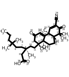 CCCC(C)(C)CC[C@@](C)(CC[C@]1(C)CC(=O)C=C2[C@@]3(C)C=C(C#N)C(=O)C(C)(C)[C@@H]3CC[C@]21C)CC(=O)O